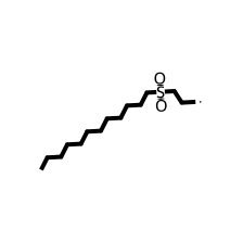 [CH2]CCS(=O)(=O)CCCCCCCCCCCC